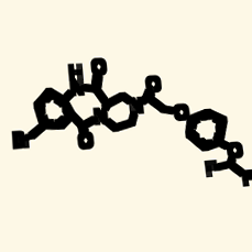 O=C1Nc2ccc(Br)cc2C(=O)N2CCN(C(=O)COc3ccc(OC(F)F)cc3)CC12